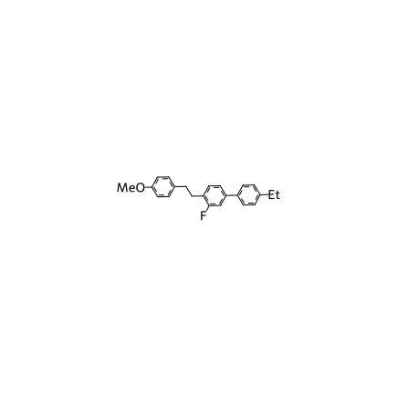 CCc1ccc(-c2ccc(CCc3ccc(OC)cc3)c(F)c2)cc1